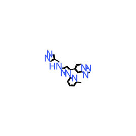 Cc1cccc(-n2nc(NCc3cnn(C)c3)cc2-c2ccn3ncnc3c2)n1